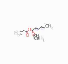 C/C=C/C=C/C(=O)OC(=O)CC.[CaH2].[KH]